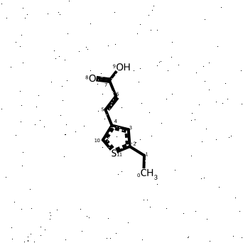 CCc1cc(/C=C/C(=O)O)cs1